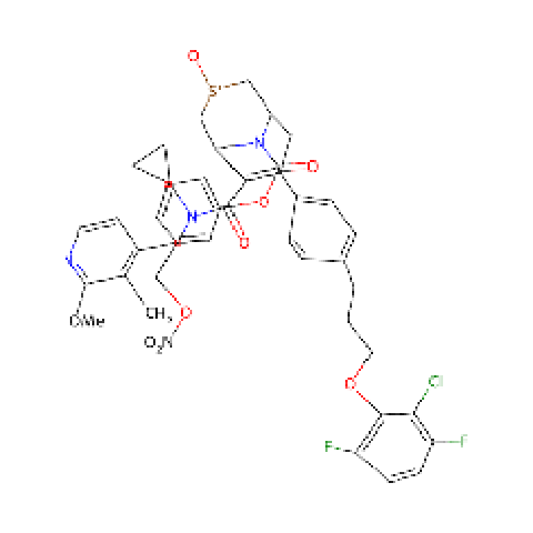 COc1nccc(CN(C(=O)C2=C(c3ccc(CCCOc4c(F)ccc(F)c4Cl)cc3)CC3C[S+]([O-])CC2N3C(=O)Oc2cccc(CO[N+](=O)[O-])c2)C2CC2)c1C